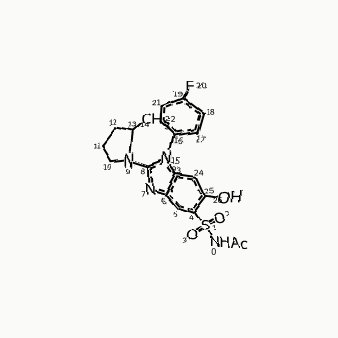 CC(=O)NS(=O)(=O)c1cc2nc(N3CCCC3C)n(-c3ccc(F)cc3)c2cc1O